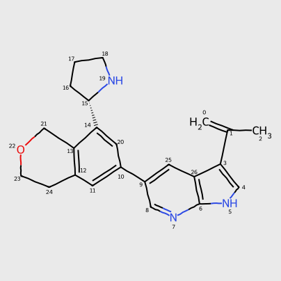 C=C(C)c1c[nH]c2ncc(-c3cc4c(c([C@@H]5CCCN5)c3)COCC4)cc12